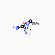 COc1cccc(CNC(=O)Nc2ccc(-c3cn[nH]c3)cc2N(C)CCN)c1